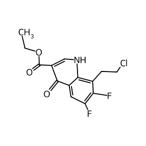 CCOC(=O)c1c[nH]c2c(CCCl)c(F)c(F)cc2c1=O